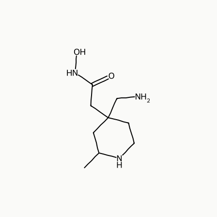 CC1CC(CN)(CC(=O)NO)CCN1